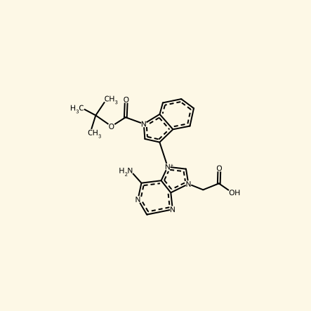 CC(C)(C)OC(=O)n1cc(-[n+]2cn(CC(=O)O)c3ncnc(N)c32)c2ccccc21